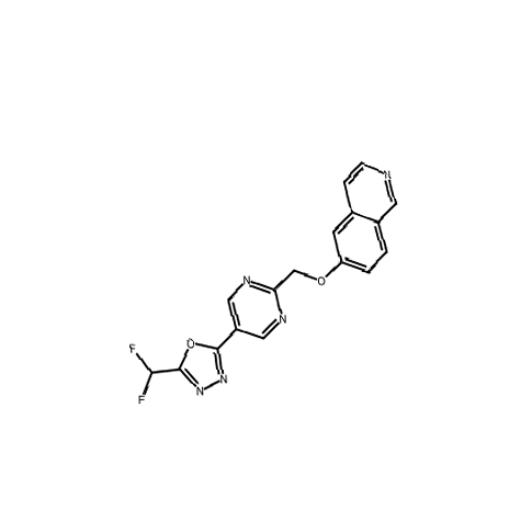 FC(F)c1nnc(-c2cnc(COc3ccc4cnccc4c3)nc2)o1